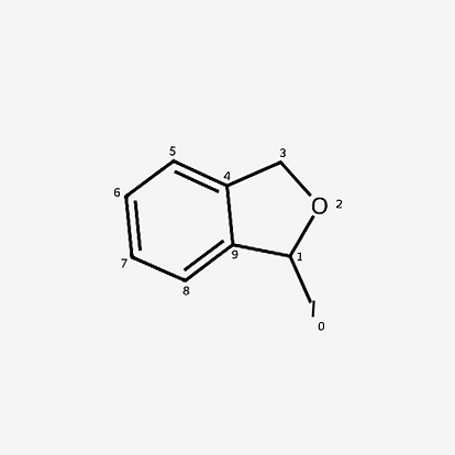 IC1OCc2ccccc21